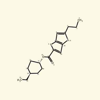 CCCc1cc2sc(C(=O)O[C@H]3CC[C@H](CC)CC3)cc2s1